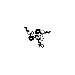 CCCCOC(=O)c1ccccc1OP(CC(CCC(=O)OC)C(=O)OC)Oc1ccccc1C(=O)OCCCC